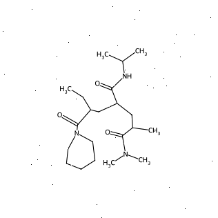 CCC(CC(CC(C)C(=O)N(C)C)C(=O)NC(C)C)C(=O)N1CCCCC1